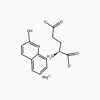 N[C@@H](CCC(=O)[O-])C(=O)[O-].Oc1ccc2ccccc2n1.[Mg+2]